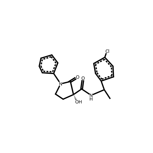 CC(NC(=O)[C@@]1(O)CCN(c2ccccc2)C1=O)c1ccc(Cl)cc1